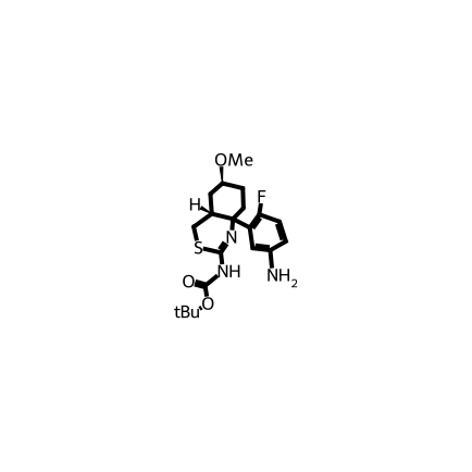 CO[C@H]1CCC2(c3cc(N)ccc3F)N=C(NC(=O)OC(C)(C)C)SC[C@@H]2C1